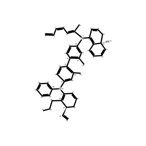 C=C/C=C\C=C(/C)N(C1=C2C=CC=C[C@@H]2CC=C1)c1ccc(-c2ccc(N(C3=C(CCC)[C@H](C=C)CC=C3)c3ccccc3)cc2C)c(C)c1